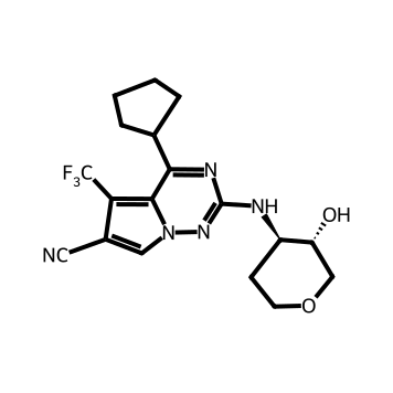 N#Cc1cn2nc(N[C@@H]3CCOC[C@H]3O)nc(C3CCCC3)c2c1C(F)(F)F